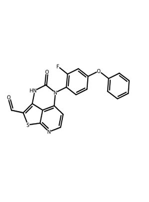 O=Cc1sc2nccc3c2c1NC(=O)N3c1ccc(Oc2ccccc2)cc1F